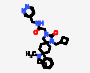 CN(C)[C@]1(c2ccccc2)CC[C@@]2(CC1)CN(CC(=O)NCc1ccnnc1)C(=O)N2CC1CCC1